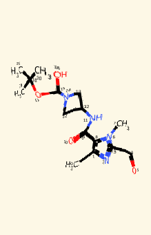 Cc1nc(C=O)n(C)c1C(=O)NC1CN(C(O)OC(C)(C)C)C1